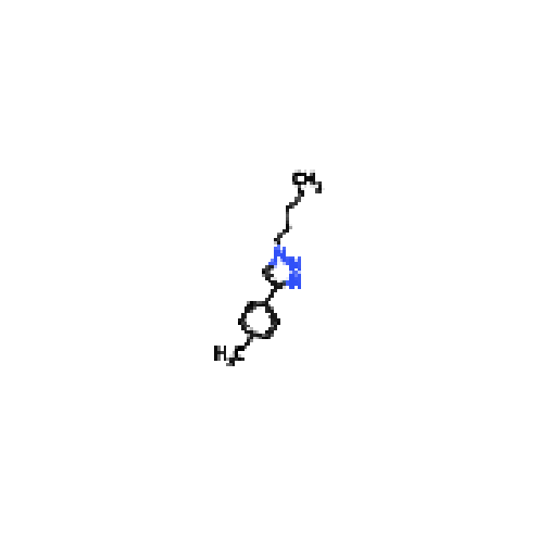 CCCCCn1cc(-c2ccc(C)cc2)nn1